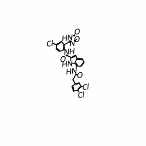 O=C(Cc1ccc(Cl)c(Cl)c1)Nc1cccc2cc(C(=O)Nc3ccc(Cl)cc3-c3noc(=O)[nH]3)[nH]c12